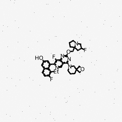 CCc1c(F)ccc2cc(O)cc(-c3ncc4c(N5CCCC6(COC6)C5)nc(OCC56CCCN5CC(F)C6)nc4c3F)c12